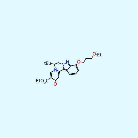 CCOCCCOc1cccc2c3n(nc12)CC(C(C)(C)C)n1cc(C(=O)OCC)c(=O)cc1-3